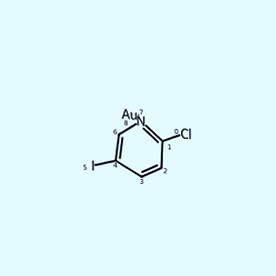 Clc1ccc(I)cn1.[Au]